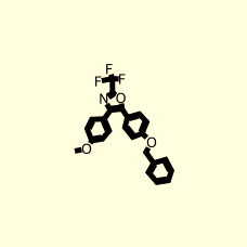 COc1ccc(-c2nc(C(F)(F)F)oc2-c2ccc(OCc3ccccc3)cc2)cc1